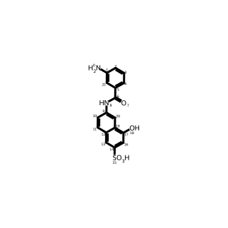 Nc1cccc(C(=O)Nc2ccc3cc(S(=O)(=O)O)cc(O)c3c2)c1